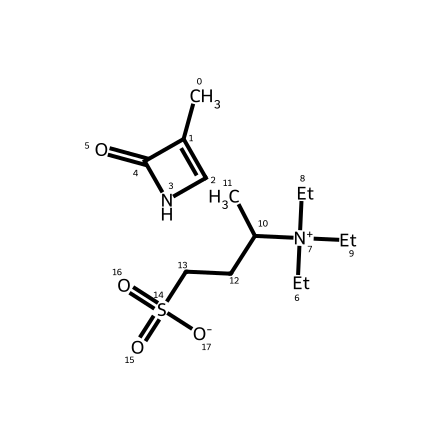 CC1=CNC1=O.CC[N+](CC)(CC)C(C)CCS(=O)(=O)[O-]